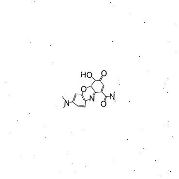 CN(C)C(=O)C1=CC(=O)C(O)C2Oc3cc(N(C)C)ccc3N=C12